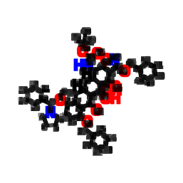 COc1c([C@@H]2CCCN2Cc2ccccc2)cc(OCc2ccccc2)c2c1C[C@H]1C[C@H]3[C@H](NC(=O)OC(C)(C)C)c4onc(OCc5ccccc5)c4C(=O)[C@@]3(O)C(O)=C1C2=O